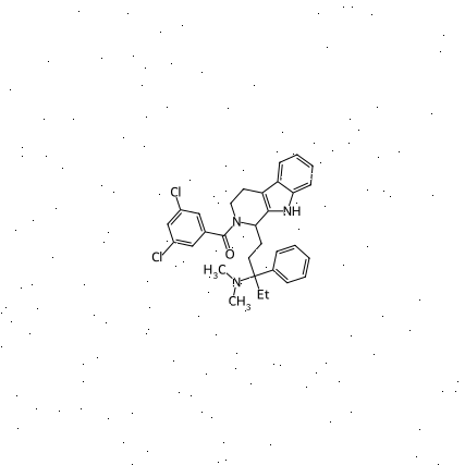 CCC(CCC1c2[nH]c3ccccc3c2CCN1C(=O)c1cc(Cl)cc(Cl)c1)(c1ccccc1)N(C)C